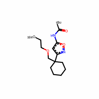 COCCOCC1(c2cc(NC(=O)C(C)(C)C)on2)CCCCC1